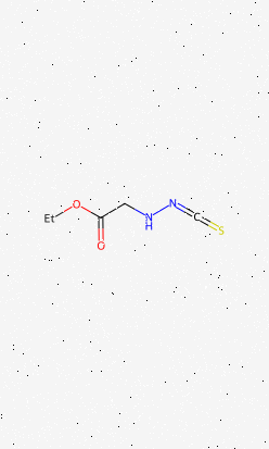 CCOC(=O)CNN=C=S